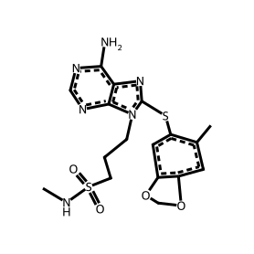 CNS(=O)(=O)CCCn1c(Sc2cc3c(cc2C)OCO3)nc2c(N)ncnc21